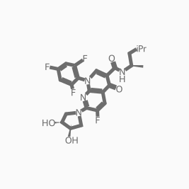 CC(C)C[C@@H](C)NC(=O)c1cn(-c2c(F)cc(F)cc2F)c2nc(N3C[C@@H](O)[C@H](O)C3)c(F)cc2c1=O